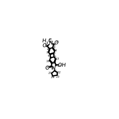 CN1C(=O)c2cc3c(cc2C1=O)C1C=C2C(=CC31)C(=O)N(C1CCCC1)C2O